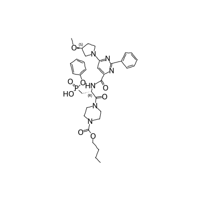 CCCCOC(=O)N1CCN(C(=O)[C@H](CP(=O)(O)Oc2ccccc2)NC(=O)c2cc(N3CC[C@H](OC)C3)nc(-c3ccccc3)n2)CC1